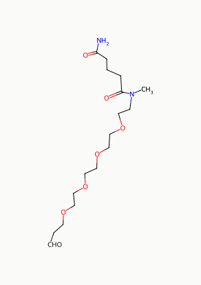 CN(CCOCCOCCOCCOCCC=O)C(=O)CCCC(N)=O